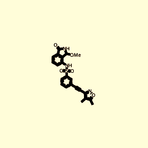 COC1NC(=O)c2cccc(NS(=O)(=O)c3cccc(C#Cc4noc(C)c4C)c3)c21